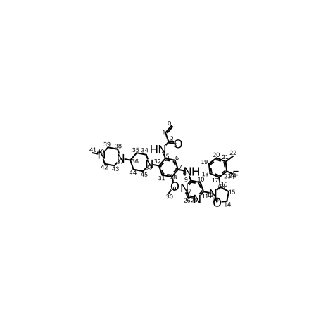 C=CC(=O)Nc1cc(Nc2cc(N3OCC[C@@H]3c3cccc(C)c3F)ncn2)c(OC)cc1N1CCC(N2CCN(C)CC2)CC1